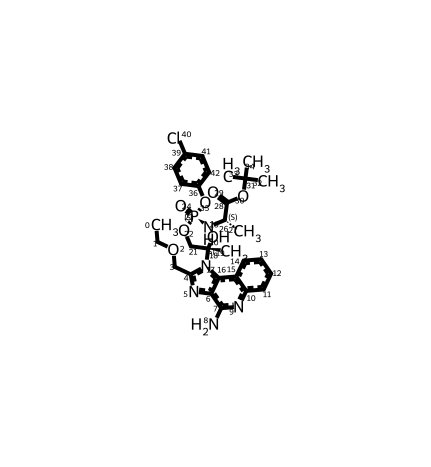 CCOCc1nc2c(N)nc3ccccc3c2n1[C@@](C)(O)CO[P@@](=O)(N[C@@H](C)C(=O)OC(C)(C)C)Oc1ccc(Cl)cc1